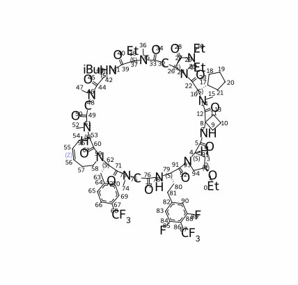 CCO[C@@H]1C[C@H]2C(=O)NC3(CCC3)C(=O)N(C)[C@@H](C3CCCC3)C(=O)N(C)[C@H](C(=O)N(CC)CC)CC(=O)N(C)[C@@H](CC)C(=O)N[C@@H]([C@@H](C)CC)C(=O)N(C)CC(=O)N(C)[C@H]3C/C=C\CCN(C3=O)[C@@H](Cc3ccc(C(F)(F)F)cc3)C(=O)N(C)CC(=O)N[C@@H](CCc3cc(F)c(C(F)(F)F)c(F)c3)C(=O)N2C1